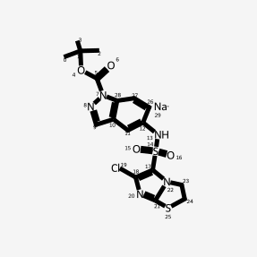 CC(C)(C)OC(=O)n1ncc2cc(NS(=O)(=O)c3c(Cl)nc4n3CCS4)ccc21.[Na]